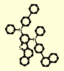 c1ccc(-c2ccc(N(c3ccccc3)c3cc(N(c4ccccc4)c4ccc(-c5cccc6ccccc56)cc4)c4c(c3)sc3c5ccccc5ccc34)cc2)cc1